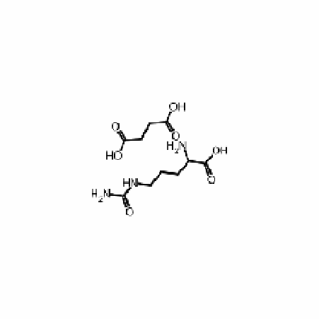 NC(=O)NCCCC(N)C(=O)O.O=C(O)CCC(=O)O